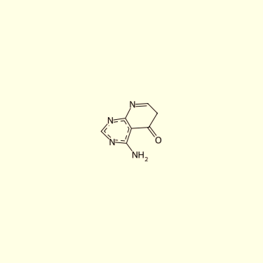 Nc1ncnc2c1C(=O)CC=N2